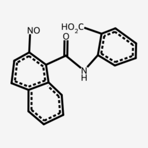 O=Nc1ccc2ccccc2c1C(=O)Nc1ccccc1C(=O)O